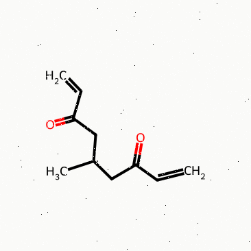 C=CC(=O)C[C](C)CC(=O)C=C